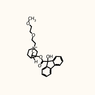 COCCOCC[N+]12CCC(CC1)[C@@H](OC(=O)C1(O)c3ccccc3-c3ccccc31)C2